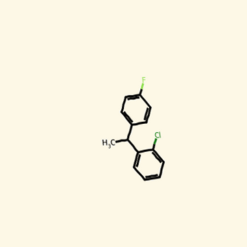 CC(c1ccc(F)cc1)c1ccccc1Cl